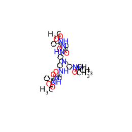 COC(=O)N[C@@H](C(=O)N1CCC[C@H]1C(=O)Nc1ccc2c3ccc(NC(=O)[C@@H]4CCCN4C(=O)[C@H](NC(=O)OC)c4ccccc4)cc3n(Cc3cccc(NC(=O)C(C)(C)C)c3)c2c1)c1ccccc1